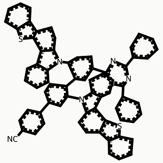 N#Cc1ccc(-c2ccc(-c3cc(-c4nc(-c5ccccc5)nc(-c5ccccc5)n4)ccc3-n3c4ccccc4c4c5sc6ccccc6c5ccc43)c(-n3c4ccccc4c4c5sc6ccccc6c5ccc43)c2)cc1